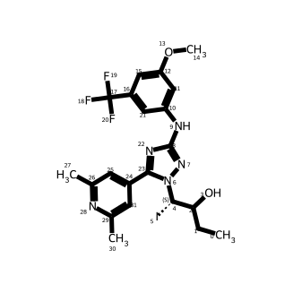 CCC(O)[C@H](I)n1nc(Nc2cc(OC)cc(C(F)(F)F)c2)nc1-c1cc(C)nc(C)c1